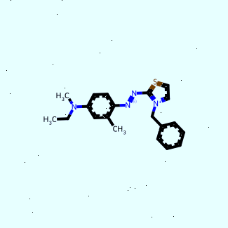 CCN(C)c1ccc(/N=N/c2scc[n+]2Cc2ccccc2)c(C)c1